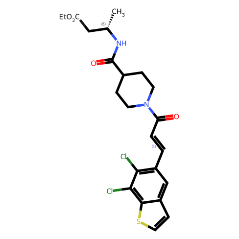 CCOC(=O)C[C@H](C)NC(=O)C1CCN(C(=O)/C=C/c2cc3ccsc3c(Cl)c2Cl)CC1